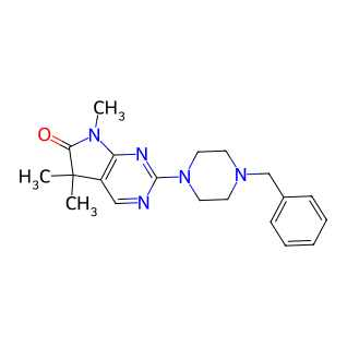 CN1C(=O)C(C)(C)c2cnc(N3CCN(Cc4ccccc4)CC3)nc21